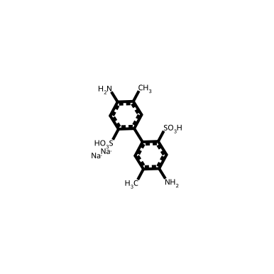 Cc1cc(-c2cc(C)c(N)cc2S(=O)(=O)O)c(S(=O)(=O)O)cc1N.[Na].[Na]